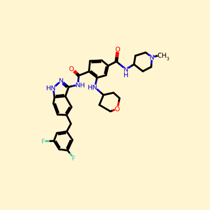 CN1CCC(NC(=O)c2ccc(C(=O)Nc3n[nH]c4ccc(Cc5cc(F)cc(F)c5)cc34)c(NC3CCOCC3)c2)CC1